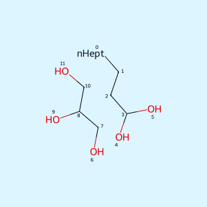 CCCCCCCCCC(O)O.OCC(O)CO